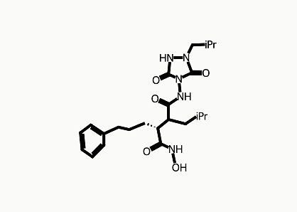 CC(C)CC(C(=O)Nn1c(=O)[nH]n(CC(C)C)c1=O)[C@@H](CCCc1ccccc1)C(=O)NO